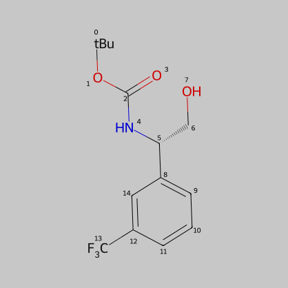 CC(C)(C)OC(=O)N[C@H](CO)c1cccc(C(F)(F)F)c1